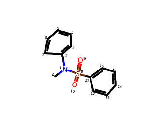 CN(c1ccccc1)S(=O)(=O)c1[c]cccc1